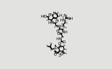 CO[C@@H]1[C@H](OC(=O)NCC(=O)N[C@@H](CCCNC(=N)N)C(=O)NCC(=O)NC(CC(=O)O)c2cccnc2)CC[C@]2(CO2)[C@H]1[C@@]1(C)O[C@@H]1CC=C(C)C